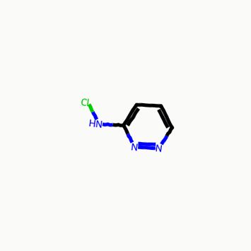 ClNc1cccnn1